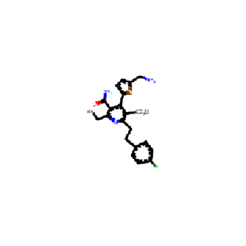 CCOC(=O)c1c(CCc2ccc(F)cc2)nc(CC(C)C)c(C(N)=O)c1-c1ccc(CN)s1